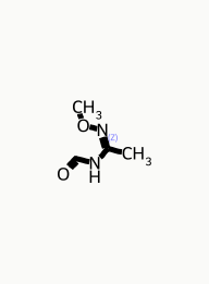 CO/N=C(/C)NC=O